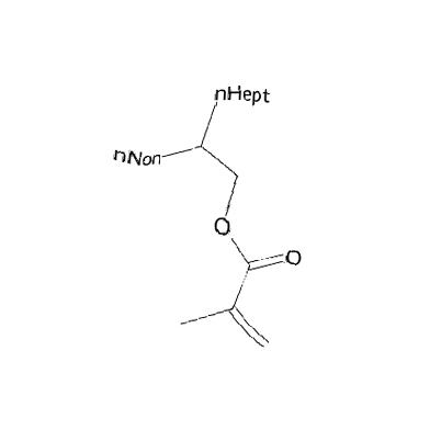 C=C(C)C(=O)OCC(CCCCCCC)CCCCCCCCC